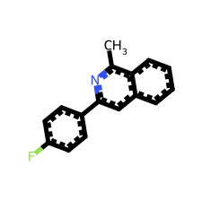 Cc1nc(-c2ccc(F)cc2)cc2ccccc12